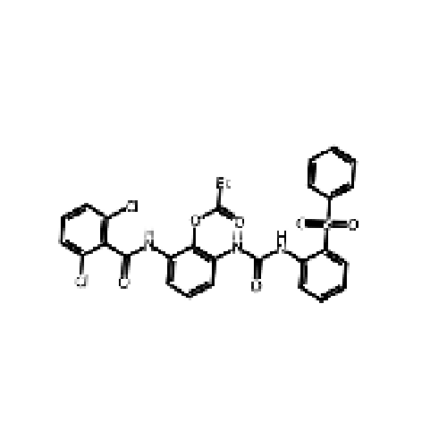 CCC(=O)Oc1c(NC(=O)Nc2ccccc2S(=O)(=O)c2ccccc2)cccc1NC(=O)c1c(Cl)cccc1Cl